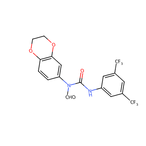 O=CN(C(=O)Nc1cc(C(F)(F)F)cc(C(F)(F)F)c1)c1ccc2c(c1)OCCO2